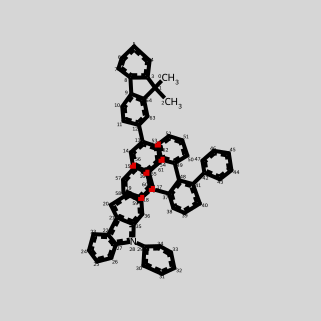 CC1(C)c2ccccc2-c2ccc(-c3ccc(N(c4ccc5c6ccccc6n(-c6ccccc6)c5c4)c4cccc(-c5ccccc5)c4-c4ccccc4-c4ccccc4)cc3)cc21